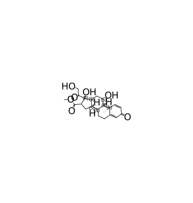 COC(=O)C1C[C@H]2[C@@H]3CCC4=CC(=O)C=C[C@]4(C)[C@H]3[C@@H](O)C[C@]2(C)[C@@]1(O)C(=O)CO